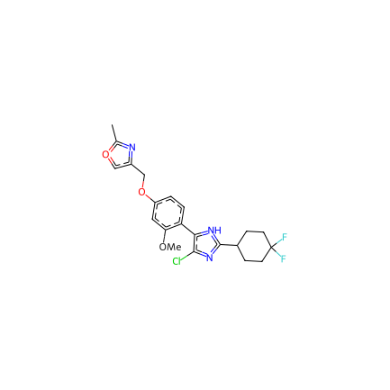 COc1cc(OCc2coc(C)n2)ccc1-c1[nH]c(C2CCC(F)(F)CC2)nc1Cl